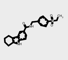 CCS(=O)(=O)c1ccc(CNC(=O)c2ccc3[nH]c4c(c3c2)CCCC4)cc1